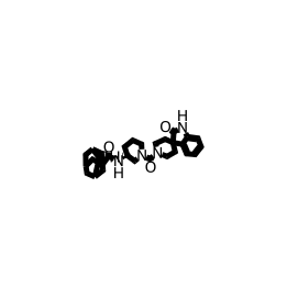 O=C(N1CCC2(CC1)C(=O)Nc1ccccc12)N1CCC[C@H](NC(=O)C23CC4CC(C2)C(O)C(C4)C3)C1